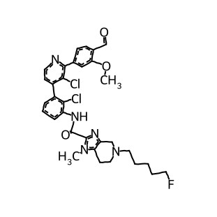 COc1cc(-c2nccc(-c3cccc(NC(=O)c4nc5c(n4C)CCN(CCCCCF)C5)c3Cl)c2Cl)ccc1C=O